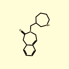 O=C1CC2C=CC=CC2=CCN1CC1CCCCNC1